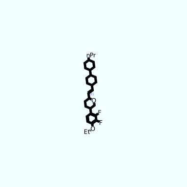 CCCC1CCC(C2CCC(/C=C/C3CCC(c4ccc(OCC)c(F)c4F)CO3)CC2)CC1